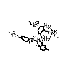 Cc1ccc2nc(NC(=O)c3ccc(OC(F)(F)F)cc3)nc(N[C@H]3CCCC[C@H]3NC(=N)N)c2c1.Cl.Cl